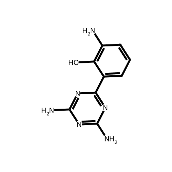 Nc1nc(N)nc(-c2cccc(N)c2O)n1